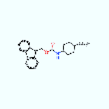 O=C(NC1CCC(C(=O)O)CC1)OCC1c2ccccc2-c2ccccc21